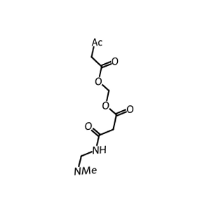 CNCNC(=O)CC(=O)OCOC(=O)CC(C)=O